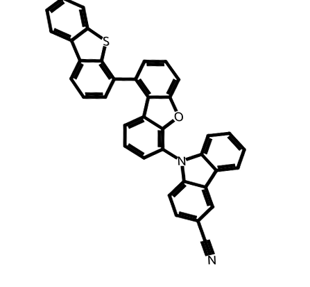 N#Cc1ccc2c(c1)c1ccccc1n2-c1cccc2c1oc1cccc(-c3cccc4c3sc3ccccc34)c12